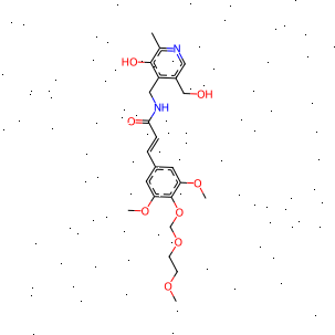 COCCOCOc1c(OC)cc(C=CC(=O)NCc2c(CO)cnc(C)c2O)cc1OC